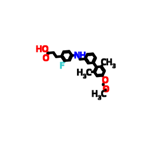 COCOc1cc(C)c(-c2cccc(CNc3ccc(CCC(=O)O)c(F)c3)c2)c(C)c1